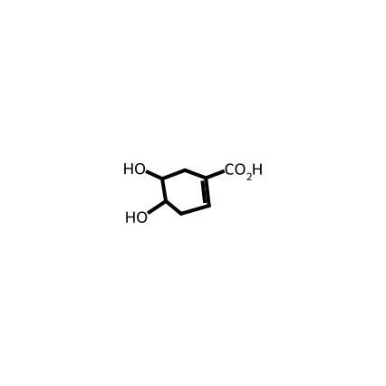 O=C(O)C1=CCC(O)C(O)C1